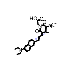 [C-]#[N+]C1=C(C)/C(=C/C=C/c2ccc3cc(N(CC)CC)ccc3c2)C(=O)N(CC(=O)O)C1=O